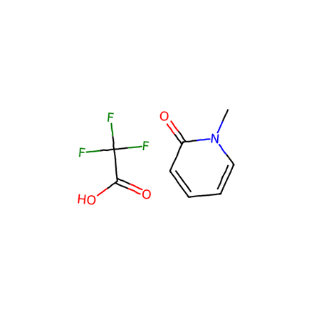 Cn1ccccc1=O.O=C(O)C(F)(F)F